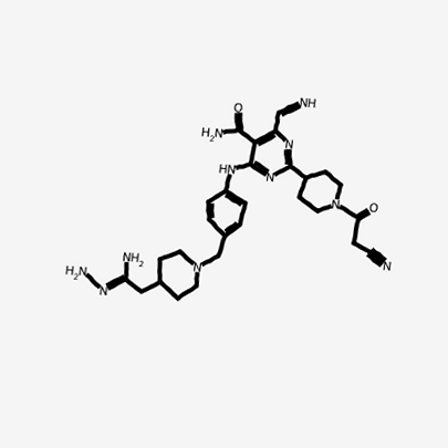 N#CCC(=O)N1CCC(c2nc(C=N)c(C(N)=O)c(Nc3ccc(CN4CCC(C/C(N)=N/N)CC4)cc3)n2)CC1